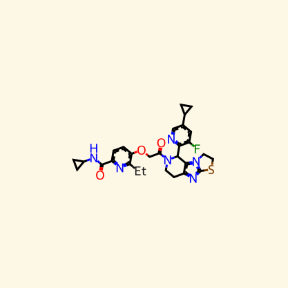 CCc1nc(C(=O)NC2CC2)ccc1OCC(=O)N1CCc2nc3n(c2C1c1ncc(C2CC2)cc1F)CCS3